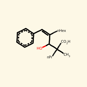 CCCCCCC(=Cc1ccccc1)C(O)C(C)(CCC)C(=O)O